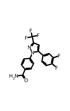 NC(=O)c1ccc(-n2nc(C(F)(F)F)cc2-c2ccc(F)c(F)c2)cc1